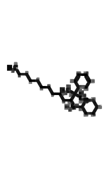 CCCCCCCCCCC([SiH2]C1CCCCO1)C(C)(C)c1ccccc1